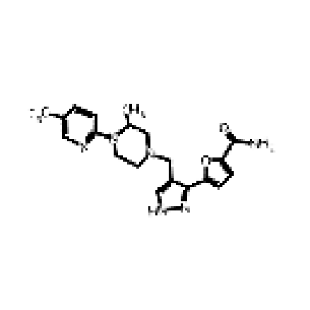 CC1CN(Cc2c[nH]nc2-c2ccc(C(N)=O)o2)CCN1c1ccc(C(F)(F)F)cn1